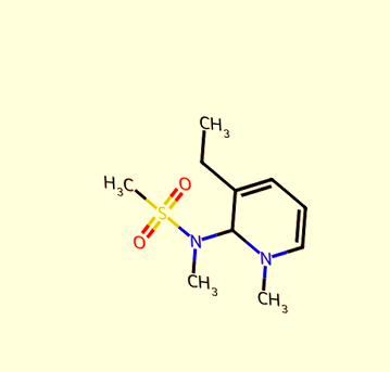 CCC1=CC=CN(C)C1N(C)S(C)(=O)=O